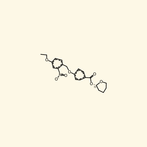 CCOc1ccc(COc2ccc(C(=O)O[C@H]3CCCCO3)cc2)c([N+](=O)[O-])c1